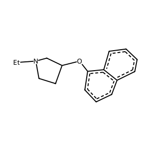 CCN1CCC(Oc2cccc3ccccc23)C1